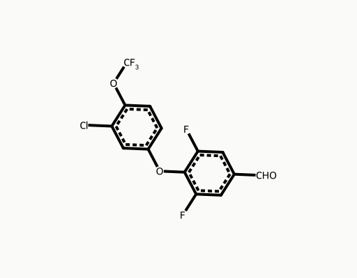 O=Cc1cc(F)c(Oc2ccc(OC(F)(F)F)c(Cl)c2)c(F)c1